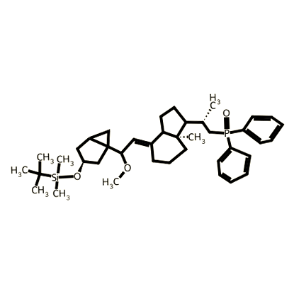 COC(/C=C1\CCC[C@@]2(C)C1CCC2[C@H](C)CP(=O)(c1ccccc1)c1ccccc1)C12CC1C[C@H](O[Si](C)(C)C(C)(C)C)C2